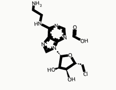 NCCNc1ncnc2c1ncn2[C@@H]1O[C@H](CCl)[C@@H](O)[C@H]1O.O=CO